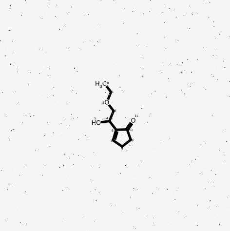 CCOCC(O)C1=CCCC1=O